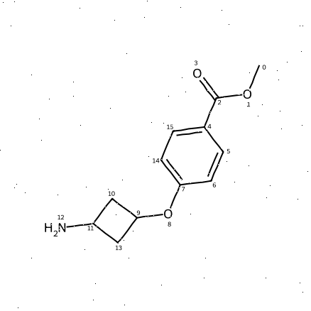 COC(=O)c1ccc(OC2CC(N)C2)cc1